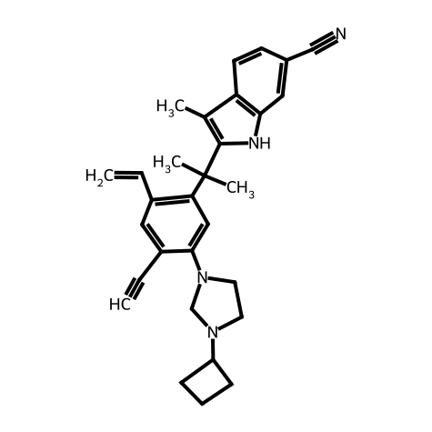 C#Cc1cc(C=C)c(C(C)(C)c2[nH]c3cc(C#N)ccc3c2C)cc1N1CCN(C2CCC2)C1